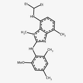 CCC(CC)Nc1ccc(C)c2nc(Nc3c(C)cc(C)cc3OC)n(C)c12